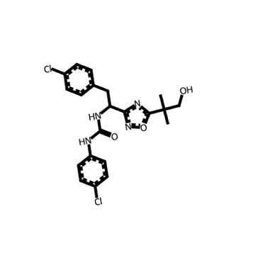 CC(C)(CO)c1nc(C(Cc2ccc(Cl)cc2)NC(=O)Nc2ccc(Cl)cc2)no1